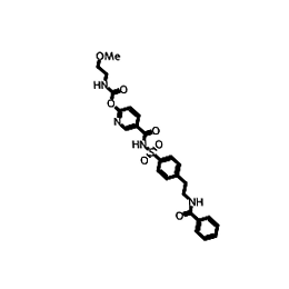 COCCNC(=O)Oc1ccc(C(=O)NS(=O)(=O)c2ccc(CCNC(=O)c3ccccc3)cc2)cn1